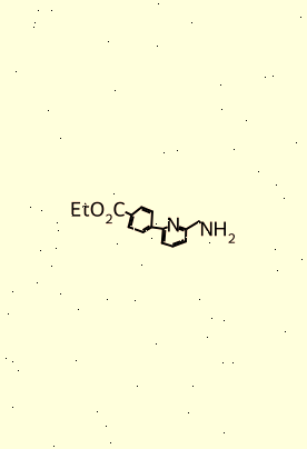 CCOC(=O)c1ccc(-c2cccc(CN)n2)cc1